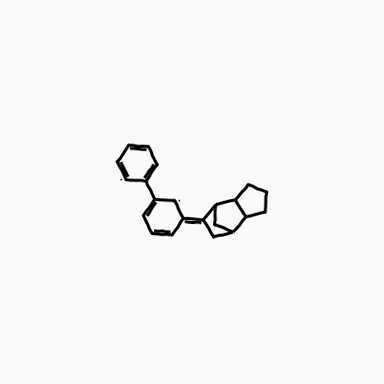 [c]1ccccc1C1=CC=CC(=C2CC3CC2C2CCCC32)[CH]1